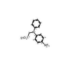 CCOC(=O)CN(c1ccccc1)c1ccc(N)cc1